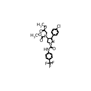 COC(=O)CN(C(=O)OC)C1CN(C(=O)Nc2ccc(C(F)(F)F)cc2)N=C1c1ccc(Cl)cc1